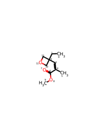 CCC1(C=C(C)C(=O)OC)COC1